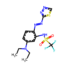 CCN(CC)c1ccc(N=Nc2nncs2)c(NS(=O)(=O)C(F)(F)F)c1